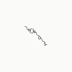 CCCN1CCN(CCCOCCCSC)CC1